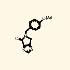 COc1ccc(CN2Cc3scnc3C2=O)cc1